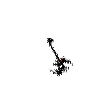 Nc1nc2c(ncn2C2OC3COP(=O)(O)OC4C(COP(=O)(O)OC3C2O)OC(n2cnc3c(=O)[nH]c(N)nc32)C4NC(=O)CCOCCOCCOCCOCCOCCC(=O)ON2C(=O)CCC2=O)c(=O)[nH]1